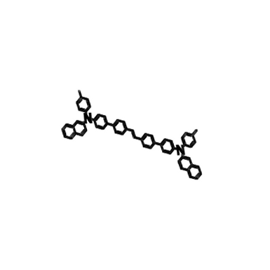 Cc1ccc(N(c2ccc(-c3ccc(/C=C/c4ccc(-c5ccc(N(c6ccc(C)cc6)c6ccc7ccccc7c6)cc5)cc4)cc3)cc2)c2ccc3ccccc3c2)cc1